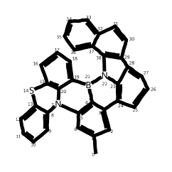 Cc1cc2c3c(c1)N1c4ccccc4Sc4cccc(c41)B3n1c3c-2cccc3c2ccc3ccccc3c21